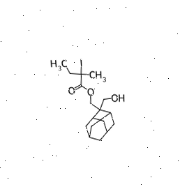 CCC(C)(I)C(=O)OCC1(CO)C2CC3CC(C2)CC1C3